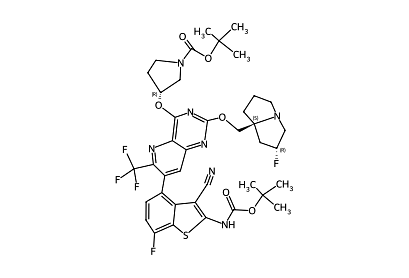 CC(C)(C)OC(=O)Nc1sc2c(F)ccc(-c3cc4nc(OC[C@@]56CCCN5C[C@H](F)C6)nc(O[C@@H]5CCN(C(=O)OC(C)(C)C)C5)c4nc3C(F)(F)F)c2c1C#N